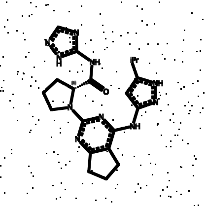 CC(C)c1cc(Nc2nc(N3CCC[C@@H]3C(=O)Nc3ncn[nH]3)nc3c2CCC3)n[nH]1